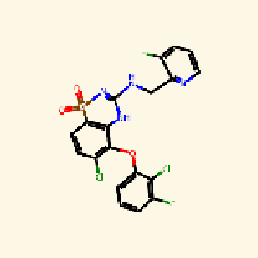 O=S1(=O)N=C(NCc2ncccc2F)Nc2c1ccc(Cl)c2Oc1cccc(Cl)c1Cl